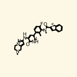 Cc1c(-c2cc(Nc3cc4n(n3)CCN(C)C4)c(=O)[nH]n2)ccc(F)c1N(C)C(=O)c1cc2ccccc2s1